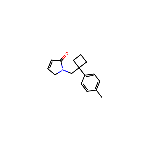 Cc1ccc(C2(CN3CC=CC3=O)CCC2)cc1